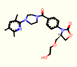 Cc1cc(C)c(N2CCN(C(=O)c3ccc(N4C(=O)OC[C@H]4COCCO)cc3)CC2)nc1C